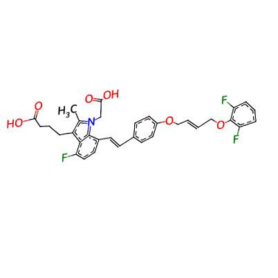 Cc1c(CCCC(=O)O)c2c(F)ccc(C=Cc3ccc(OC/C=C/COc4c(F)cccc4F)cc3)c2n1CC(=O)O